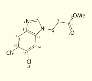 COC(=O)CCn1cnc2cc(Cl)c(Cl)cc21